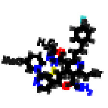 COC1CCCN(c2nccc3cc(-c4c(C(N)=O)c(CC(C)C)nc(CCc5ccc(F)cc5)c4-c4nnc(C)o4)sc23)C1